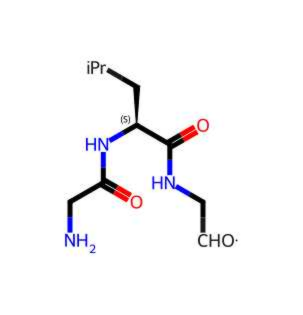 CC(C)C[C@H](NC(=O)CN)C(=O)NC[C]=O